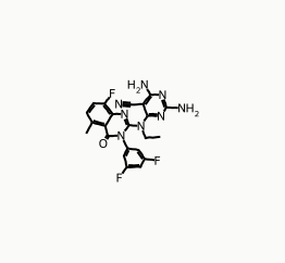 CCN(c1nc(N)nc(N)c1C#N)c1nc2c(F)ccc(C)c2c(=O)n1-c1cc(F)cc(F)c1